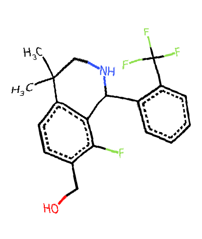 CC1(C)CNC(c2ccccc2C(F)(F)F)c2c1ccc(CO)c2F